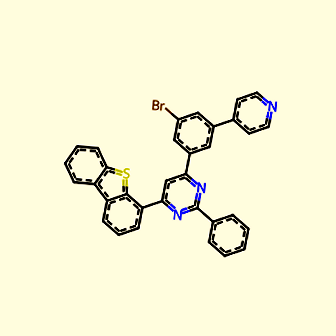 Brc1cc(-c2ccncc2)cc(-c2cc(-c3cccc4c3sc3ccccc34)nc(-c3ccccc3)n2)c1